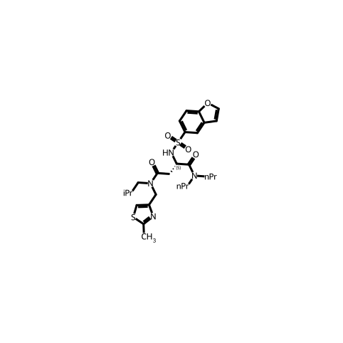 CCCN(CCC)C(=O)[C@H](CC(=O)N(Cc1csc(C)n1)CC(C)C)NS(=O)(=O)c1ccc2occc2c1